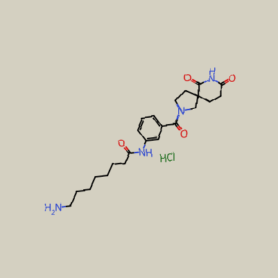 Cl.NCCCCCCCC(=O)Nc1cccc(C(=O)N2CCC3(CCC(=O)NC3=O)C2)c1